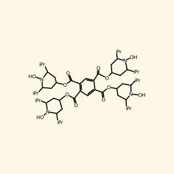 CC(C)C1CC(OC(=O)c2cc(C(=O)OC3CC(C(C)C)N(O)C(C(C)C)C3)c(C(=O)OC3CC(C(C)C)N(O)C(C(C)C)C3)cc2C(=O)OC2CC(C(C)C)N(O)C(C(C)C)C2)CC(C(C)C)N1O